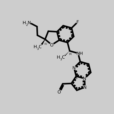 C[C@@H](Nc1ccn2ncc(C=O)c2n1)c1cc(F)cc2c1O[C@](C)(CCN)C2